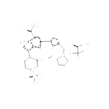 CCS(=O)(=O)N1CCC(c2c[nH]c3c(C(N)=O)cc(-c4csc(CN5CCC[C@@H]5COC)c4)cc23)CC1.O=C(O)C(F)(F)F